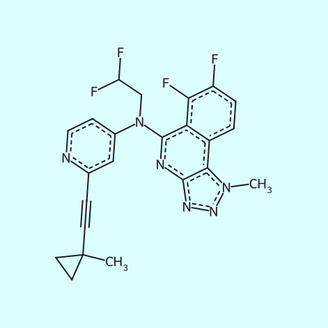 Cn1nnc2nc(N(CC(F)F)c3ccnc(C#CC4(C)CC4)c3)c3c(F)c(F)ccc3c21